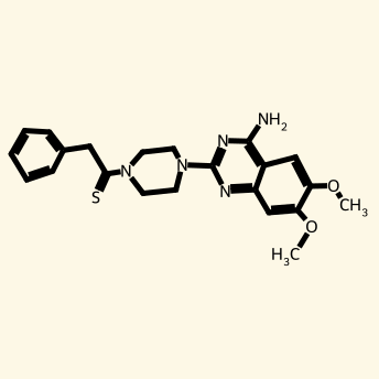 COc1cc2nc(N3CCN(C(=S)Cc4ccccc4)CC3)nc(N)c2cc1OC